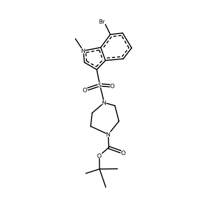 Cn1cc(S(=O)(=O)N2CCN(C(=O)OC(C)(C)C)CC2)c2cccc(Br)c21